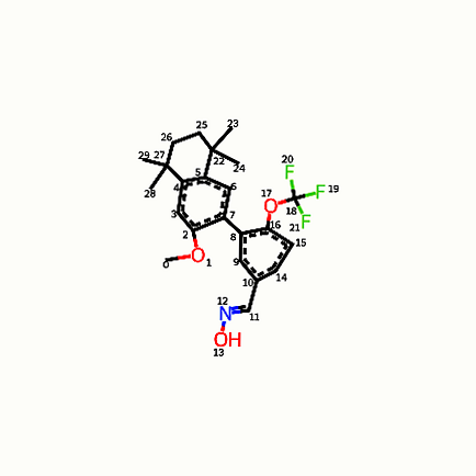 COc1cc2c(cc1-c1cc(C=NO)ccc1OC(F)(F)F)C(C)(C)CCC2(C)C